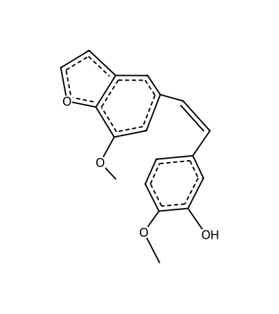 COc1ccc(/C=C\c2cc(OC)c3occc3c2)cc1O